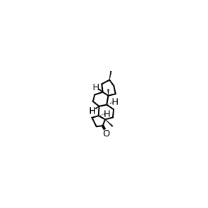 C[C@H]1CC[C@@]2(C)[C@H](CC[C@@H]3[C@@H]2CC[C@]2(C)C(=O)CC[C@@H]32)C1